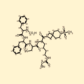 CC(C)CC(NC(=O)C(Cc1ccccc1)NC(=O)C(Cc1ccccc1)NC(=O)O)C(=O)NC(CCCCNC(=O)OC(C)(C)C)C(=O)N1CC2(CCN(S(C)(=O)=O)CC2)C1